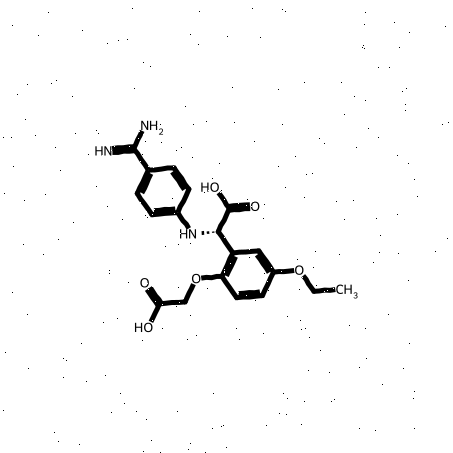 CCOc1ccc(OCC(=O)O)c([C@H](Nc2ccc(C(=N)N)cc2)C(=O)O)c1